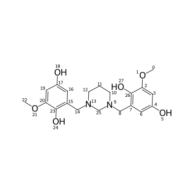 COc1cc(O)cc(CN2CCCN(Cc3cc(O)cc(OC)c3O)C2)c1O